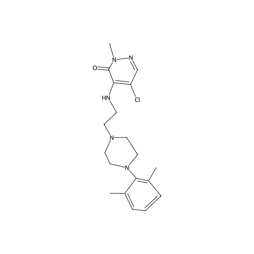 Cc1cccc(C)c1N1CCN(CCNc2c(Cl)cnn(C)c2=O)CC1